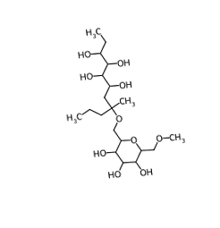 CCCC(C)(CC(O)C(O)C(O)C(O)CC)OCC1OC(COC)C(O)C(O)C1O